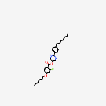 CCCCCCCc1ccc(-c2ncc(OC(=O)c3ccc(OCCCCCC)cc3F)cn2)cc1